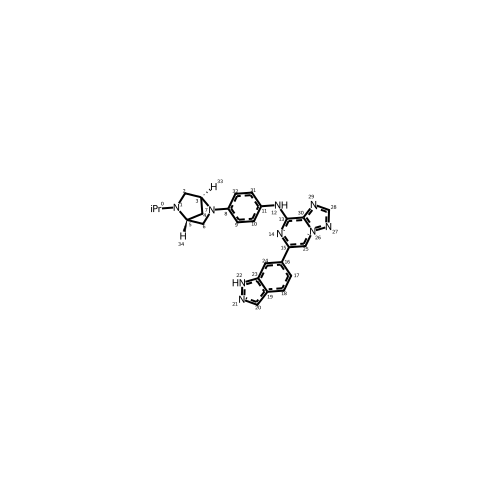 CC(C)N1C[C@@H]2C[C@@H]1CN2c1ccc(Nc2nc(-c3ccc4cn[nH]c4c3)cn3ncnc23)cc1